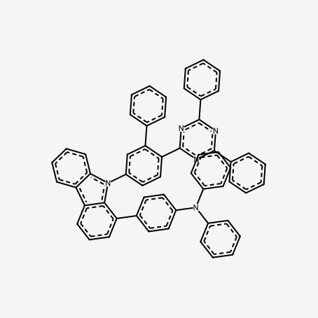 c1ccc(-c2nc(-c3ccccc3)nc(-c3ccc(-n4c5ccccc5c5cccc(-c6ccc(N(c7ccccc7)c7ccccc7)cc6)c54)cc3-c3ccccc3)n2)cc1